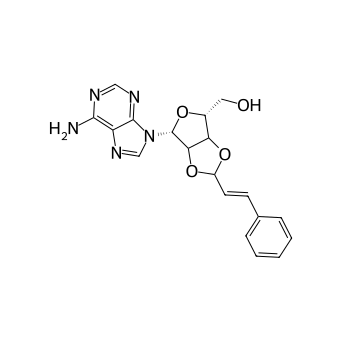 Nc1ncnc2c1ncn2[C@@H]1O[C@H](CO)C2OC(/C=C/c3ccccc3)OC21